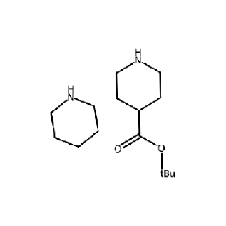 C1CCNCC1.CC(C)(C)OC(=O)C1CCNCC1